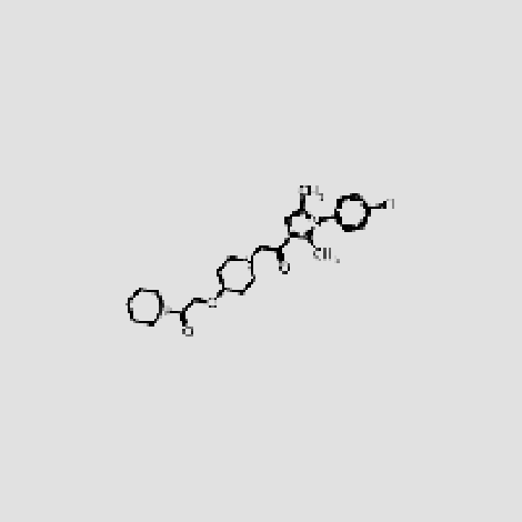 Cc1cc(C(=O)CN2CCC(OCC(=O)N3CCCCC3)CC2)c(C)n1-c1ccc(Cl)cc1